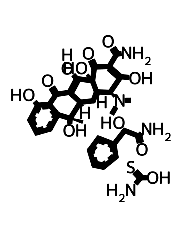 CN(C)[C@@H]1C(O)=C(C(N)=O)C(=O)[C@@]2(O)C(O)=C3C(=O)c4c(O)cccc4[C@@](C)(O)[C@H]3C[C@@H]12.NC(=O)[C@H](O)c1ccccc1.NC(O)=S